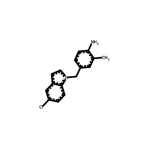 Cc1cc(Cn2ccc3cc(Cl)ccc32)ccc1N